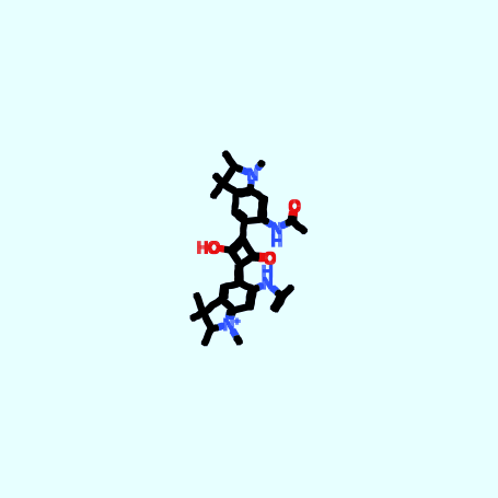 C=C(C)Nc1cc2c(c/c1=C1/C(=O)C(c3cc4c(cc3NC(C)=O)N(C)C(C)C4(C)C)=C1O)C(C)(C)C(C)[N+]=2C